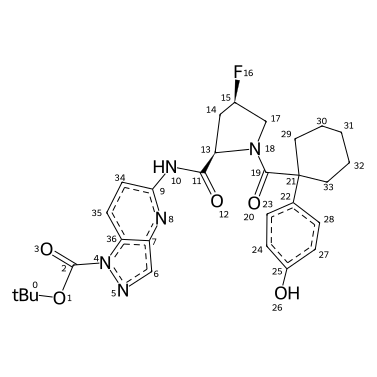 CC(C)(C)OC(=O)n1ncc2nc(NC(=O)[C@H]3C[C@@H](F)CN3C(=O)C3(c4ccc(O)cc4)CCCCC3)ccc21